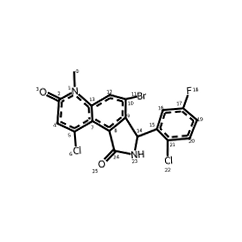 Cn1c(=O)cc(Cl)c2c3c(c(Br)cc21)C(c1cc(F)ccc1Cl)NC3=O